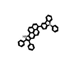 c1ccc(-c2[nH]c3c(cc4ccc5c(-c6ccc7c(c6)c6ccccc6n7-c6ccccc6)ccc6ccc3c4c65)c2-c2ccccc2)cc1